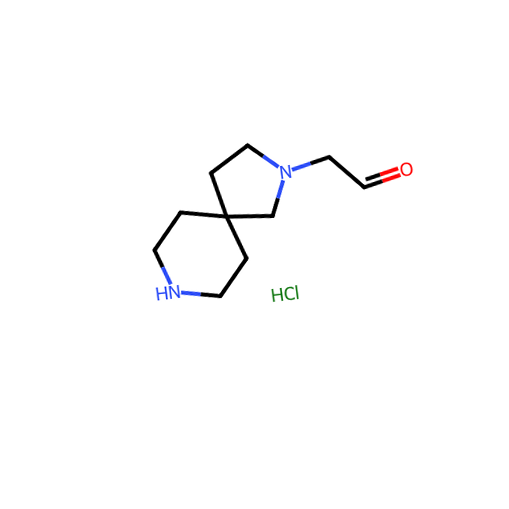 Cl.O=CCN1CCC2(CCNCC2)C1